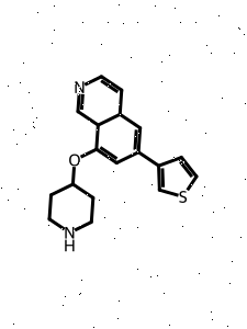 C1=CC2C=C(c3ccsc3)C=C(OC3CCNCC3)C2C=N1